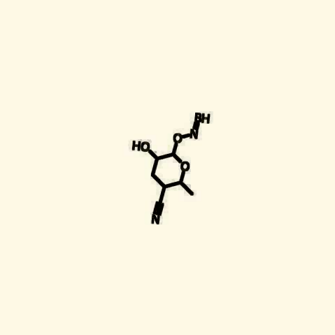 B=NOC1OC(C)C(C#N)CC1O